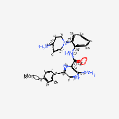 COc1ccc(-c2cnc(N)c(C(=O)Nc3ccccc3N3CCC(N)CC3)n2)cc1